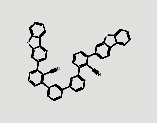 N#Cc1c(-c2cccc(-c3cccc(-c4cccc(-c5ccc6c(c5)sc5ccccc56)c4C#N)c3)c2)cccc1-c1ccc2c(c1)sc1ccccc12